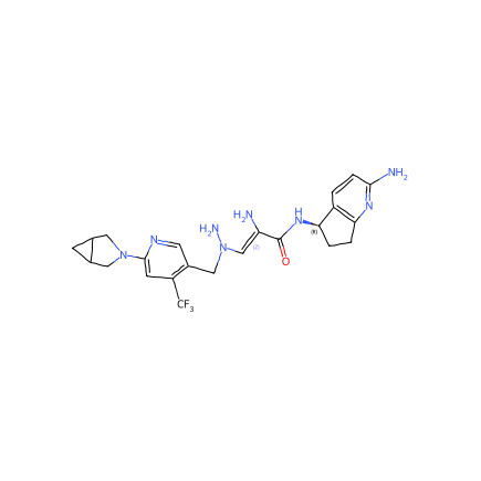 N/C(=C\N(N)Cc1cnc(N2CC3CC3C2)cc1C(F)(F)F)C(=O)N[C@@H]1CCc2nc(N)ccc21